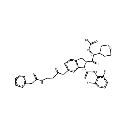 C[CH]C(=O)N[C@H](C(=O)N1Cc2ccc(NC(=O)CCNC(=O)Cc3ccccc3)cc2[C@H]1C(=O)Nc1c(F)cccc1F)C1CCOCC1